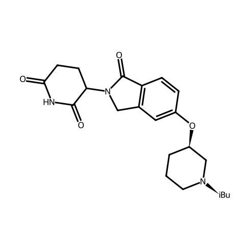 CC[C@H](C)N1CCC[C@@H](Oc2ccc3c(c2)CN(C2CCC(=O)NC2=O)C3=O)C1